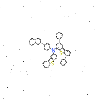 c1ccc(-c2cc(N(c3ccc(-c4ccc5ccccc5c4)cc3)c3ccc4sc5ccccc5c4c3)c3sc4c(-c5ccccc5)cccc4c3c2)cc1